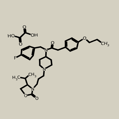 CCCOc1ccc(CC(=O)N(Cc2ccc(F)cc2)C2CCN(CCCN3C(=O)OCC3C(C)C)CC2)cc1.O=C(O)C(=O)O